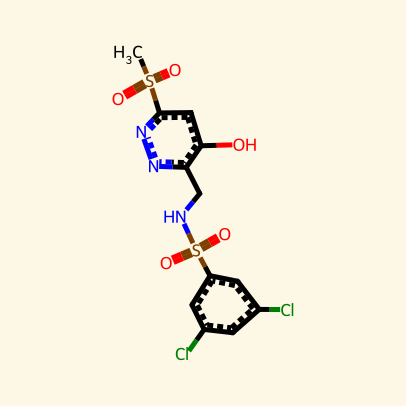 CS(=O)(=O)c1cc(O)c(CNS(=O)(=O)c2cc(Cl)cc(Cl)c2)nn1